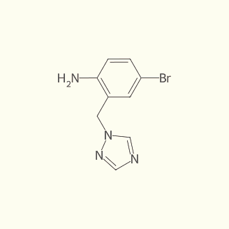 Nc1ccc(Br)cc1Cn1cncn1